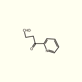 O=[C]CCC(=O)c1ccccn1